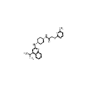 Cc1ccnc(SCC(=O)N[C@H]2CC[C@@H](Nc3cc(N(C)C)c4ccccc4n3)CC2)n1